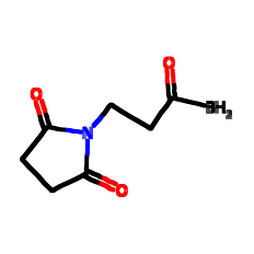 BC(=O)CCN1C(=O)CCC1=O